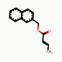 CC=CC(=O)OCc1ccc2ccccc2c1